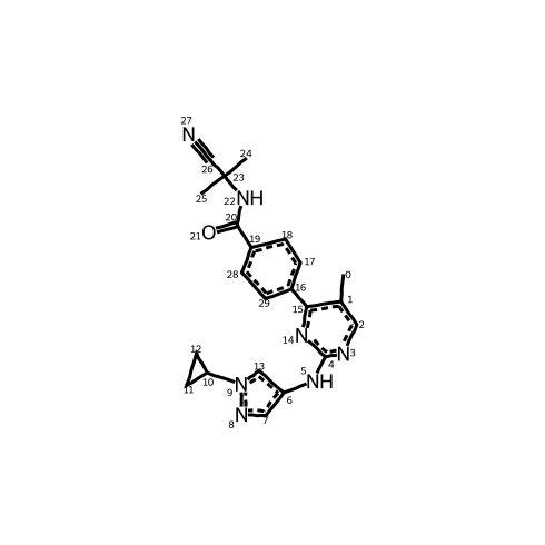 Cc1cnc(Nc2cnn(C3CC3)c2)nc1-c1ccc(C(=O)NC(C)(C)C#N)cc1